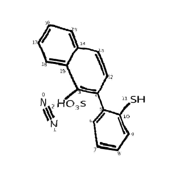 N#N.O=S(=O)(O)c1c(-c2ccccc2S)ccc2ccccc12